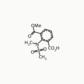 COC(=O)c1cccc(C(=O)O)c1N(C)S(C)(=O)=O